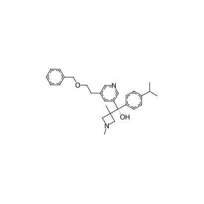 CC(C)c1ccc([C@](O)(c2cncc(CCOCc3ccccc3)c2)C2(C)CN(C)C2)cc1